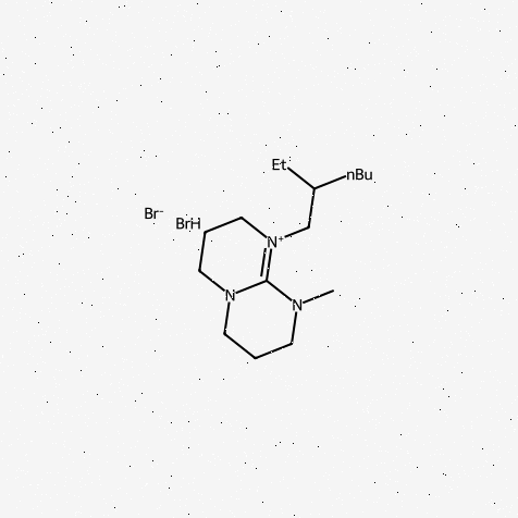 Br.CCCCC(CC)C[N+]1=C2N(C)CCCN2CCC1.[Br-]